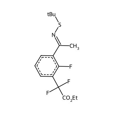 CCOC(=O)C(F)(F)c1cccc(/C(C)=N/SC(C)(C)C)c1F